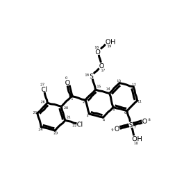 O=C(c1ccc2c(S(=O)(=O)O)cccc2c1SOOO)c1c(Cl)cccc1Cl